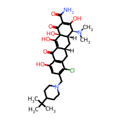 CN(C)[C@@H]1C(O)=C(C(N)=O)C(=O)[C@@]2(O)C(O)=C3C(=O)c4c(O)cc(CN5CCC(C(C)(C)C)CC5)c(Cl)c4C[C@H]3C[C@@H]12